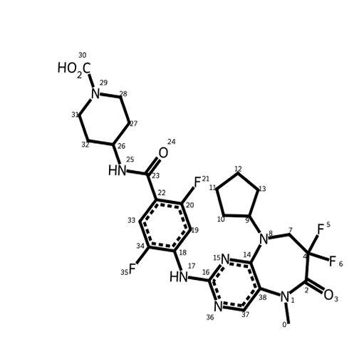 CN1C(=O)C(F)(F)CN(C2CCCC2)c2nc(Nc3cc(F)c(C(=O)NC4CCN(C(=O)O)CC4)cc3F)ncc21